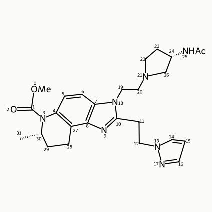 COC(=O)N1c2ccc3c(nc(CCn4cccn4)n3CCN3CC[C@H](NC(C)=O)C3)c2CC[C@@H]1C